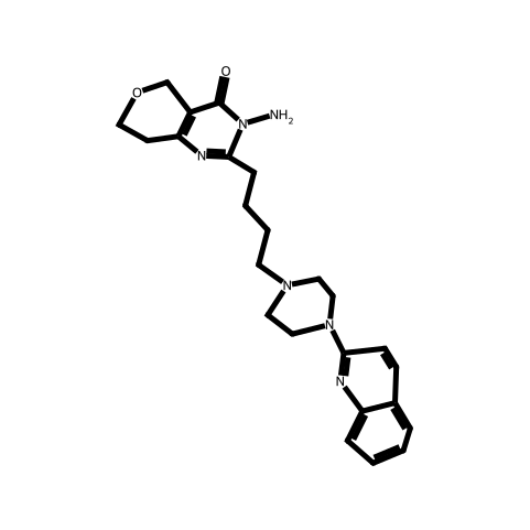 Nn1c(CCCCN2CCN(c3ccc4ccccc4n3)CC2)nc2c(c1=O)COCC2